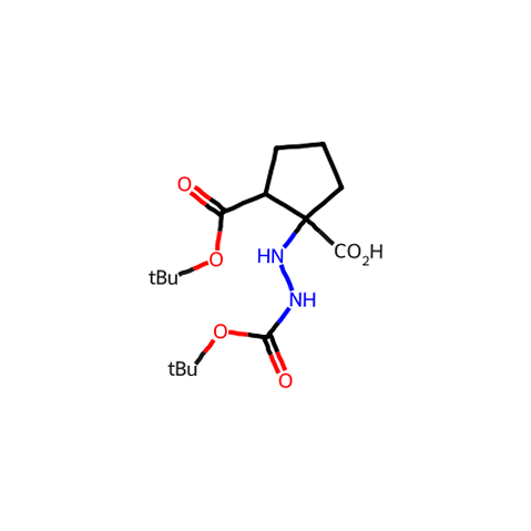 CC(C)(C)OC(=O)NNC1(C(=O)O)CCCC1C(=O)OC(C)(C)C